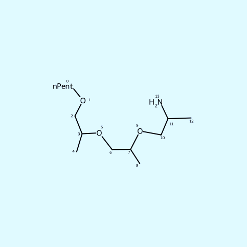 CCCCCOCC(C)OCC(C)OCC(C)N